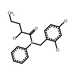 CCCC(Cl)C(=O)N(Cc1ccc(Cl)cc1Cl)c1ccccc1